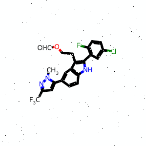 Cn1nc(C(F)(F)F)cc1-c1ccc2[nH]c(-c3cc(Cl)ccc3F)c(CCOC=O)c2c1